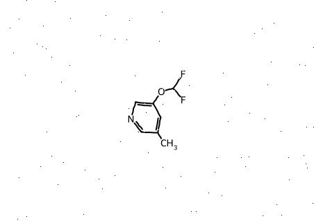 Cc1[c]ncc(OC(F)F)c1